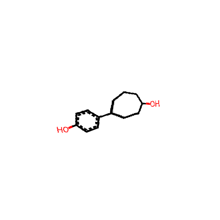 Oc1ccc(C2CCCC(O)CC2)cc1